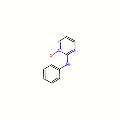 [O-][n+]1cccnc1Nc1ccccc1